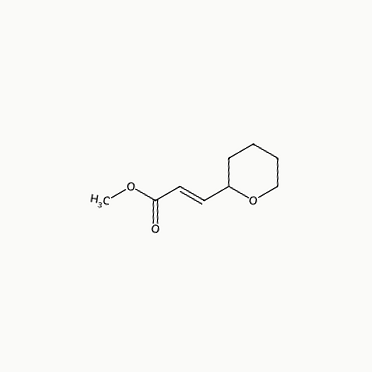 COC(=O)C=CC1CCCCO1